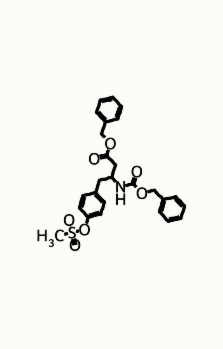 CS(=O)(=O)Oc1ccc(CC(CC(=O)OCc2ccccc2)NC(=O)OCc2ccccc2)cc1